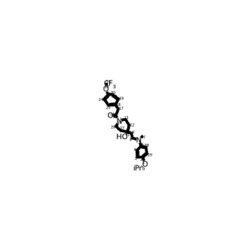 CC(C)Oc1ccc(N(C)CCC2(O)CCN(C(=O)Cc3ccc(OC(F)(F)F)cc3)CC2)cc1